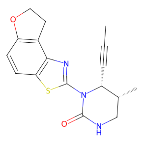 CC#C[C@@H]1[C@H](C)CNC(=O)N1c1nc2c3c(ccc2s1)OCC3